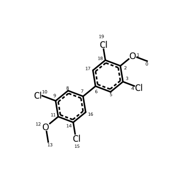 COc1c(Cl)cc(-c2cc(Cl)c(OC)c(Cl)c2)cc1Cl